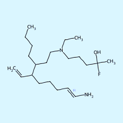 C=CC(CCC/C=C/N)C(CCCC)CCN(CC)CCCC(C)(O)F